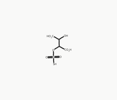 O=C(O)C(O)C(OS(=O)(=O)S)C(=O)O